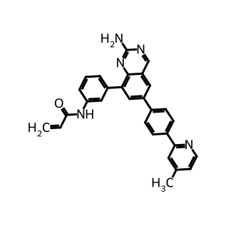 C=CC(=O)Nc1cccc(-c2cc(-c3ccc(-c4cc(C)ccn4)cc3)cc3cnc(N)nc23)c1